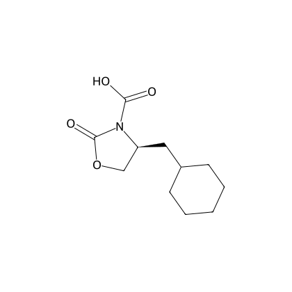 O=C(O)N1C(=O)OC[C@@H]1CC1CCCCC1